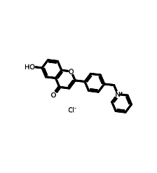 O=c1cc(-c2ccc(C[n+]3ccccc3)cc2)oc2ccc(O)cc12.[Cl-]